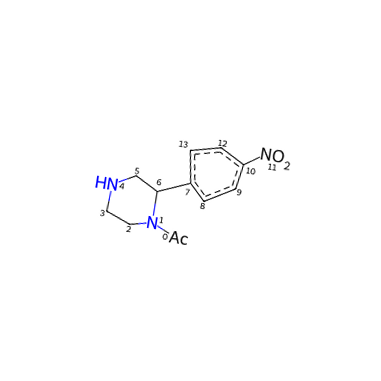 CC(=O)N1CCNCC1c1ccc([N+](=O)[O-])cc1